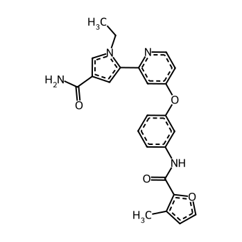 CCn1cc(C(N)=O)cc1-c1cc(Oc2cccc(NC(=O)c3occc3C)c2)ccn1